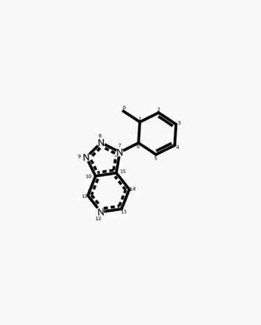 CC1C=CC=CC1n1nnc2cnccc21